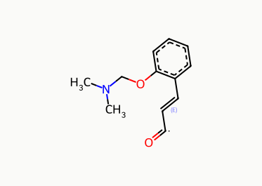 CN(C)COc1ccccc1/C=C/[C]=O